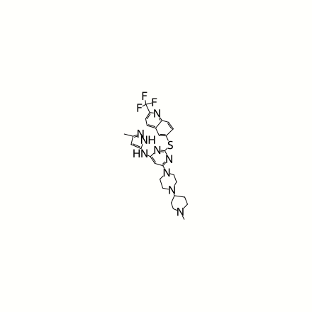 Cc1cc(Nc2cc(N3CCN(C4CCN(C)CC4)CC3)nc(Sc3ccc4nc(C(F)(F)F)ccc4c3)n2)[nH]n1